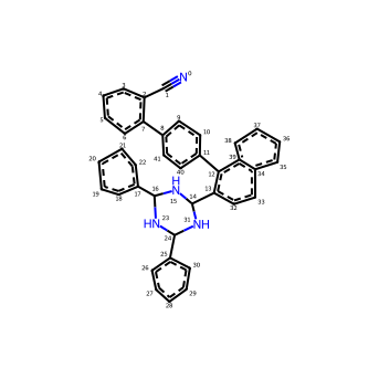 N#Cc1ccccc1-c1ccc(-c2c(C3NC(c4ccccc4)NC(c4ccccc4)N3)ccc3ccccc23)cc1